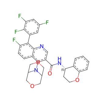 O=C(N[C@H]1CCOc2ccccc21)c1cnc2c(-c3cc(F)cc(F)c3F)c(F)ccc2c1N1C2COCC1COC2